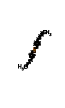 CCCCCCc1ccc(CSSCc2ccc(CCCCCC)cc2)cc1